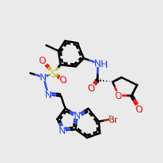 Cc1ccc(NC(=O)[C@@H]2CCC(=O)O2)cc1S(=O)(=O)N(C)/N=C/c1cnc2ccc(Br)cn12